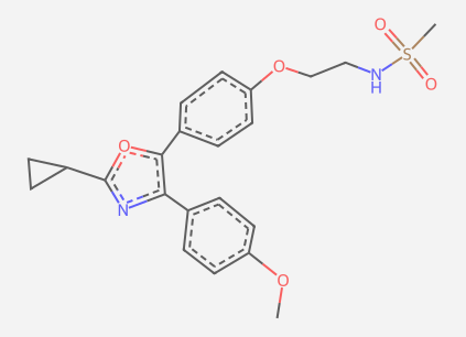 COc1ccc(-c2nc(C3CC3)oc2-c2ccc(OCCNS(C)(=O)=O)cc2)cc1